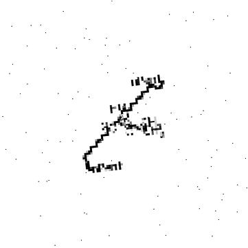 CCCCC/C=C\C/C=C\CCCCCCCC(=O)OCC(COC(=O)CCN(C)C)COC(O)CCCCCCC/C=C\C/C=C\CCCCC